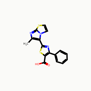 Cc1nc2sccn2c1-c1nc(-c2ccccc2)c(C(=O)O)s1